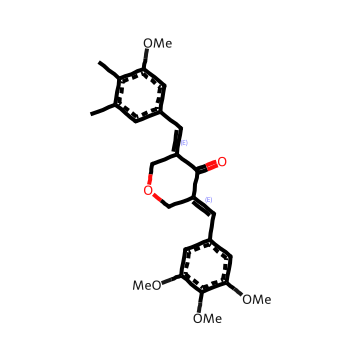 COc1cc(/C=C2\COC/C(=C\c3cc(OC)c(OC)c(OC)c3)C2=O)cc(C)c1C